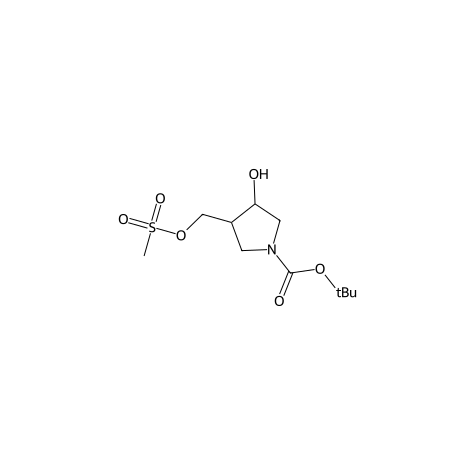 CC(C)(C)OC(=O)N1CC(O)C(COS(C)(=O)=O)C1